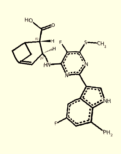 CSc1nc(-c2c[nH]c3c(P)cc(F)cc23)nc(N[C@H]2C=C3CC(C3)[C@@H]2C(=O)O)c1F